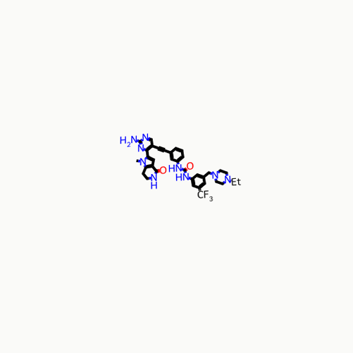 CCN1CCN(Cc2cc(NC(=O)Nc3cccc(C#Cc4cnc(N)nc4-c4cc5c(n4C)CCNC5=O)c3)cc(C(F)(F)F)c2)CC1